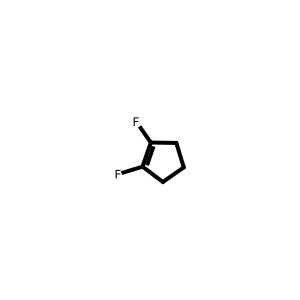 FC1=C(F)CCC1